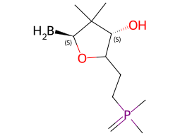 B[C@@H]1OC(CCP(=C)(C)C)[C@@H](O)C1(C)C